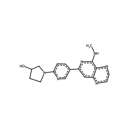 CNc1nc(-c2ccc(N3CCC(O)C3)nc2)cc2nccnc12